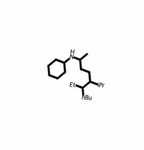 CCCCC(CC)C(CCC(C)NC1CCCCC1)C(C)C